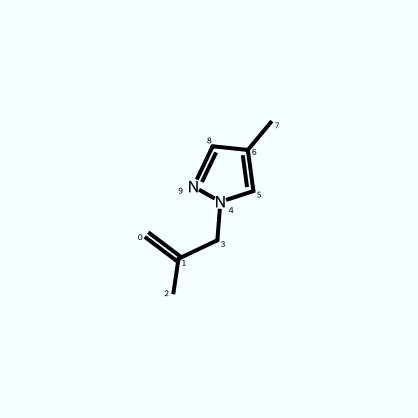 C=C(C)Cn1cc(C)cn1